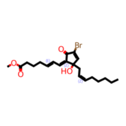 CCCCC/C=C\CC1(O)C=C(Br)C(=O)/C1=C\C=C\CCCC(=O)OC